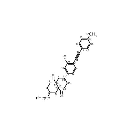 CCCCCCCC1CC[C@@H]2C[C@H](c3ccc(C#Cc4ccc(C)cc4)c(F)c3)CC[C@@H]2C1